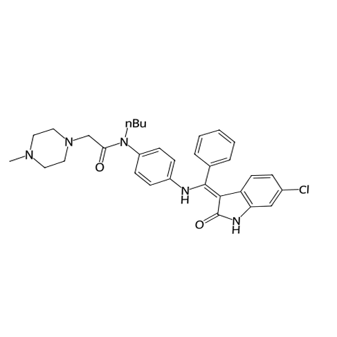 CCCCN(C(=O)CN1CCN(C)CC1)c1ccc(N/C(=C2\C(=O)Nc3cc(Cl)ccc32)c2ccccc2)cc1